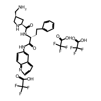 NC[C@@H]1CN[C@H](C(=O)N[C@H](CCc2ccccc2)C(=O)Nc2ccc3ncccc3c2)C1.O=C(O)C(F)(F)F.O=C(O)C(F)(F)F.O=C(O)C(F)(F)F